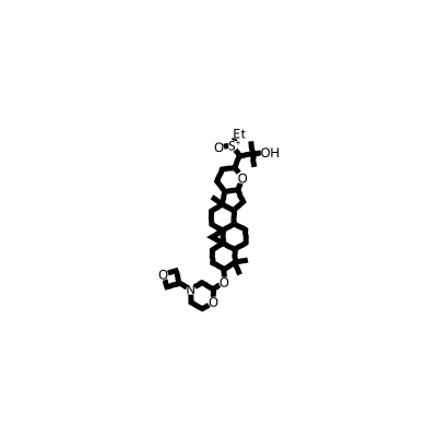 CC[S+]([O-])C(C1CCC2C(CC3C4CCC5C(C)(C)C(OC6CN(C7COC7)CCO6)CCC56CC46CCC23C)O1)C(C)(C)O